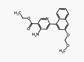 CCOC(=O)c1cnc(-c2cc(OCOC)cc3ccccc23)cc1N